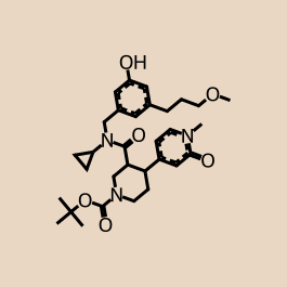 COCCCc1cc(O)cc(CN(C(=O)C2CN(C(=O)OC(C)(C)C)CCC2c2ccn(C)c(=O)c2)C2CC2)c1